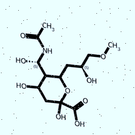 COC[C@@H](O)CC1OC(O)(C(=O)O)CC(O)C1[C@H](O)NC(C)=O